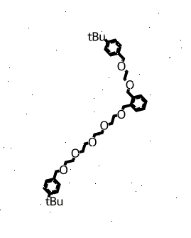 CC(C)(C)c1ccc(COCCOCCOCCOCCOCc2ccccc2COCCOCc2ccc(C(C)(C)C)cc2)cc1